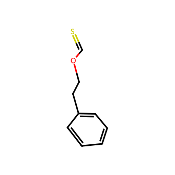 S=COCCc1ccccc1